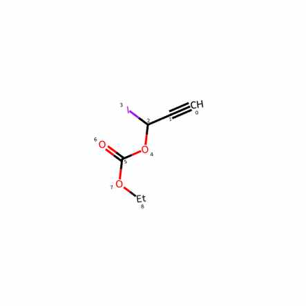 C#CC(I)OC(=O)OCC